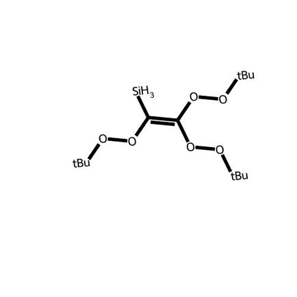 CC(C)(C)OOC([SiH3])=C(OOC(C)(C)C)OOC(C)(C)C